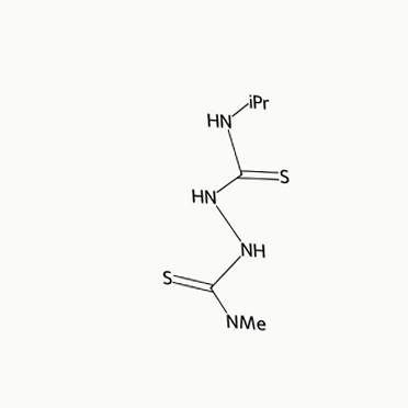 CNC(=S)NNC(=S)NC(C)C